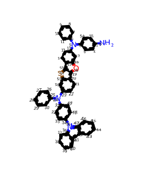 Nc1ccc(N(c2ccccc2)c2ccc3c(c2)oc2c4ccc(N(c5ccccc5)c5ccc(-n6c7ccccc7c7ccccc76)cc5)cc4sc32)cc1